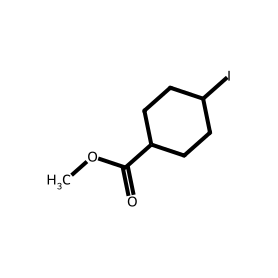 COC(=O)C1CCC(I)CC1